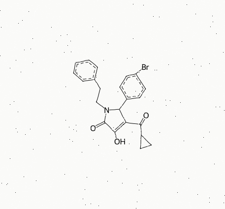 O=C(C1=C(O)C(=O)N(CCc2ccccc2)C1c1ccc(Br)cc1)C1CC1